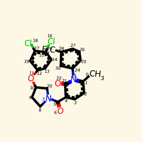 Cc1ccc(C(=O)N2CCC(Oc3ccc(Cl)c(Cl)c3)C2)c(=O)n1-c1cccc(C(F)(F)F)c1